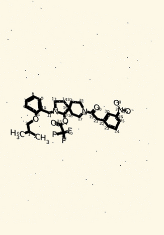 CC(C)COc1ccccc1CN1CCC2(CCN(C(=O)Cc3cccc([N+](=O)[O-])c3)CC2)C1OC(=O)C(F)(F)F